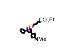 CCOC(=O)CCCCCOc1cc(-c2ccc(NC)cc2)cc(-c2ccccc2)n1